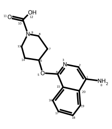 Nc1cnc(OC2CCN(C(=O)O)CC2)c2ccccc12